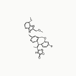 COCc1nc2c(SC)cccc2n1Cc1ccc2c(c1)COc1cc(F)ccc1C2=C(C)c1noc(=O)[nH]1